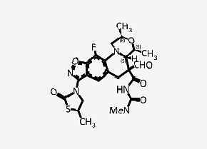 CNC(=O)NC(=O)C1(C=O)Cc2cc3c(N4CC(C)SC4=O)noc3c(F)c2N2C[C@@H](C)O[C@@H](C)[C@@H]21